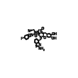 N#CCN(C(=O)NCc1ccc(F)cc1)N1CC(=O)N2[C@@H](Cc3ccc(O)c(O)c3)C(=O)N(Cc3cccc4sc(N)nc34)C[C@@H]21